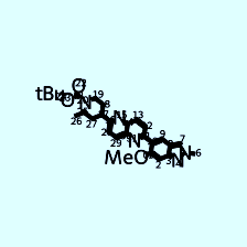 COc1cc2nn(C)cc2cc1-c1ccc2nc(C3CCN(C(=O)OC(C)(C)C)C(C)C3)ccc2n1